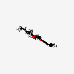 N[C@H](C=O)CCCCNC(=O)CC[C@H](NC(=O)CC[C@H](NC(=O)CC[C@H](NC(=O)CCCCCCCCCCOc1ccc(C(=O)O)cc1)C(=O)O)C(=O)O)C(=O)O